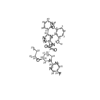 COc1cccc(OC)c1-n1c(NS(=O)(=O)[C@H]2C[C@H](OC(C)CI)CN(c3ncc(F)cn3)C2)nnc1-c1cccnc1